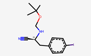 CC(C)(C)OCN[C@H](C#N)Cc1ccc(I)cc1